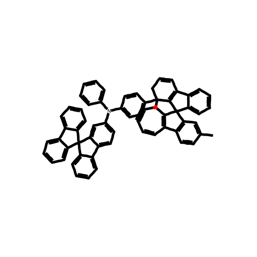 Cc1ccc2c(c1)C1(C3=C2C=CC#CC3)C2=C(C=CCC2(C)c2ccc(N(c3ccccc3)c3ccc4c(c3)C3(c5ccccc5-c5ccccc53)c3ccccc3-4)cc2)c2ccccc21